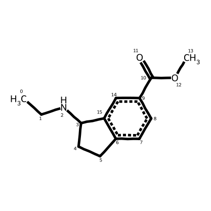 CCNC1CCc2ccc(C(=O)OC)cc21